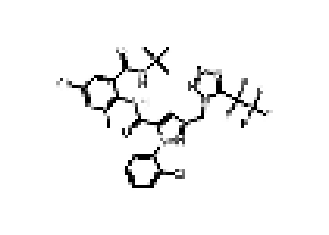 Cc1cc(Cl)cc(C(=O)NC(C)(C)C)c1NC(=O)c1cc(Cn2nnnc2C(F)(F)C(F)(F)F)nn1-c1ccccc1Cl